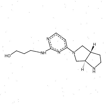 OCCCNc1nccc(N2C[C@@H]3CCN[C@H]3C2)n1